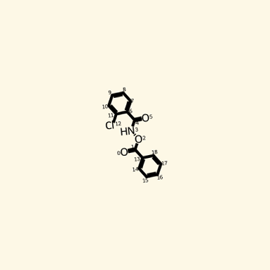 O=C(ONC(=O)c1ccccc1Cl)c1ccccc1